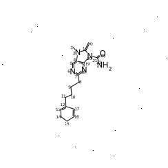 C=C1N(C)c2cnc(CCCCC3=CCCC=C3)nc2N1C(N)=O